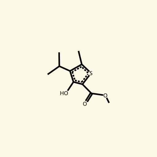 COC(=O)c1sc(C)c(C(C)C)c1O